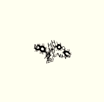 CC(=O)Nc1cc(Oc2ccc(NC(=O)Nc3cc(C(C)(C)C)nn3-c3ccc4cnccc4c3)cc2)ccn1